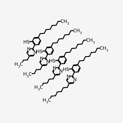 CCCCCCCCc1ccc(-c2ncc(CCC)cn2)c(S)c1.CCCCCCCCc1ccc(-c2ncc(CCCC)cn2)c(S)c1.CCCCCCCCc1ccc(-c2ncc(CCCCC)cn2)c(S)c1.CCCCCCCCc1ccc(-c2ncc(CCCCCCC)cn2)c(S)c1